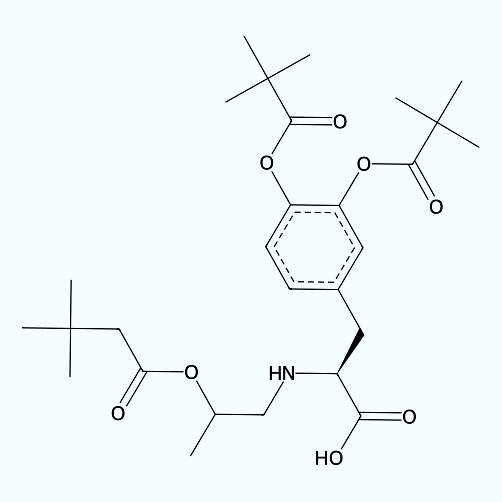 CC(CN[C@@H](Cc1ccc(OC(=O)C(C)(C)C)c(OC(=O)C(C)(C)C)c1)C(=O)O)OC(=O)CC(C)(C)C